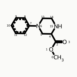 COC(=O)C1CN(c2ccccc2)CCN1